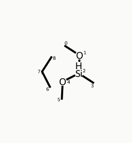 CO[SiH](C)OC.C[CH]C